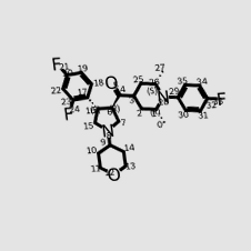 C[C@@H]1CC(C(=O)[C@H]2CN(C3CCOCC3)C[C@@H]2c2ccc(F)cc2F)C[C@H](C)N1c1ccc(F)cc1